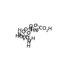 O=C(O)C(Cc1cccc(CC(=O)N(CCOc2cccc(CC(C(=O)O)C3CCNC3)c2)Cc2cccc(CC(C(=O)O)C3CCNC3)c2)c1)C1CCNC1